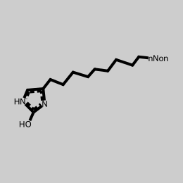 CCCCCCCCCCCCCCCCCCc1c[nH]c(O)n1